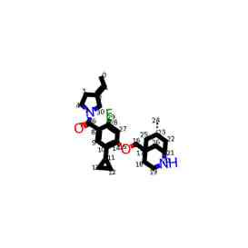 C/C=C1\CCN(C(=O)c2cc(C3CC3)c(OCC34CCNC(C[C@@H](C)C3)C4)cc2F)C1